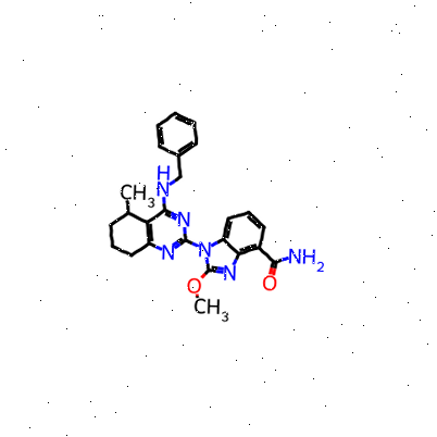 COc1nc2c(C(N)=O)cccc2n1-c1nc2c(c(NCc3ccccc3)n1)C(C)CCC2